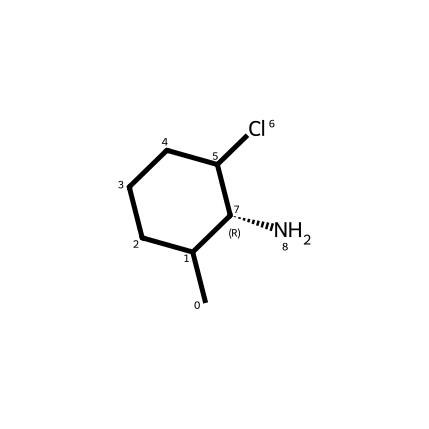 CC1CCCC(Cl)[C@@H]1N